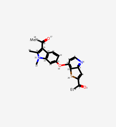 CCC(=O)c1cc2nccc(Oc3ccc4c(C(=O)NC)c(C)n(C)c4c3)c2s1